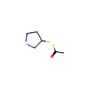 CC(=O)SC1CCNC1